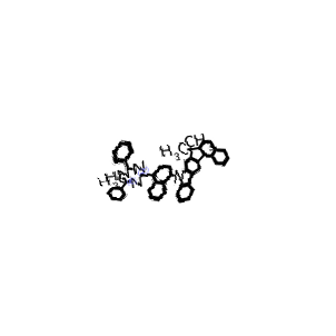 C/C(=N\C(=N/C(=N)c1ccccc1)c1ccc(-n2c3ccccc3c3cc4c(cc32)C(C)(C)c2ccc3ccccc3c2-4)c2ccccc12)c1ccccc1